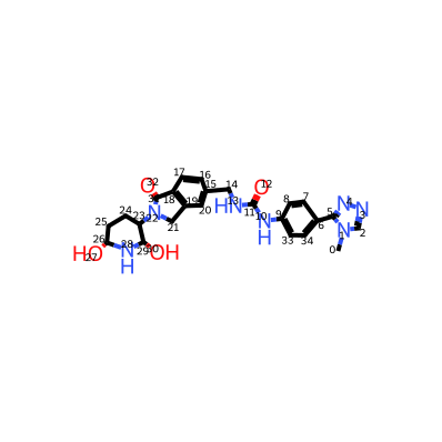 Cn1cnnc1-c1ccc(NC(=O)NCc2ccc3c(c2)CN(C2CCC(O)NC2O)C3=O)cc1